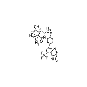 CC(=O)N1CC(C)N(c2cc(-c3cc(C(F)(F)F)c4c(N)ncnn34)ccc2F)C(=O)C1(C)C